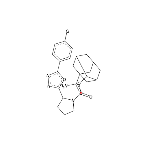 NC(=O)C12CC3CC(C1)C(OC(=O)N1CCCC1c1nnc(-c4ccc(Cl)cc4)o1)C(C3)C2